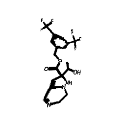 CC(O)C1(C(=O)OCc2cc(C(F)(F)F)cc(C(F)(F)F)c2)C=C2C=NCCN2N1